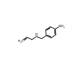 C=CCNCc1ccc([N+](=O)[O-])cc1